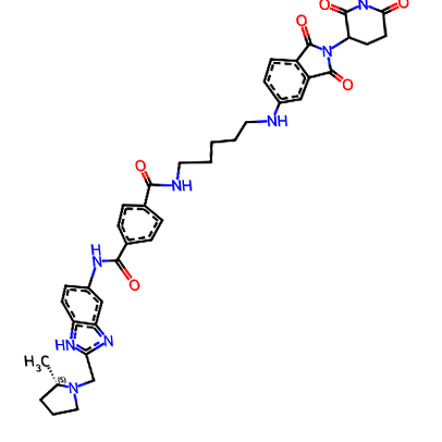 C[C@H]1CCCN1Cc1nc2cc(NC(=O)c3ccc(C(=O)NCCCCCNc4ccc5c(c4)C(=O)N(C4CCC(=O)NC4=O)C5=O)cc3)ccc2[nH]1